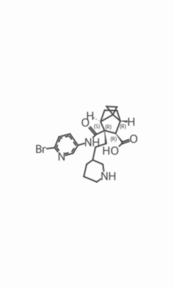 O=C(O)[C@@H]1[C@H]2CC[C@@H](C23CC3)[C@@]1(CCC1CCCNC1)C(=O)Nc1ccc(Br)nc1